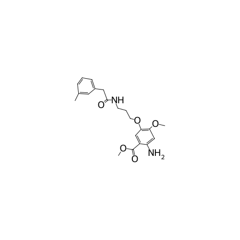 COC(=O)c1cc(OCCCNC(=O)Cc2cccc(C)c2)c(OC)cc1N